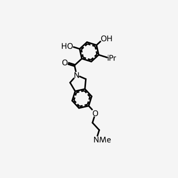 CNCCOc1ccc2c(c1)CN(C(=O)c1cc(C(C)C)c(O)cc1O)C2